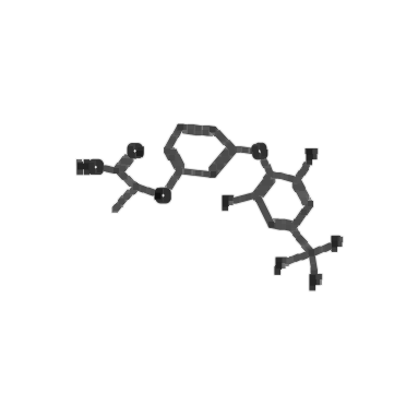 CC(Oc1cccc(Oc2c(F)cc(C(F)(F)F)cc2F)c1)C(=O)O